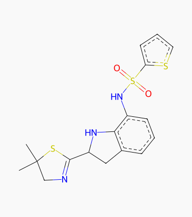 CC1(C)CN=C(C2Cc3cccc(NS(=O)(=O)c4cccs4)c3N2)S1